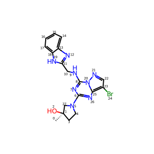 C[C@@]1(O)CCN(c2nc(NCc3nc4ccccc4[nH]3)n3ncc(Br)c3n2)C1